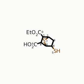 CCOC(=O)C1C2CC(S)C(S2)C1C(=O)O